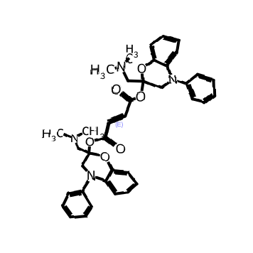 CN(C)CC1(OC(=O)/C=C/C(=O)OC2(CN(C)C)CN(c3ccccc3)c3ccccc3O2)CN(c2ccccc2)c2ccccc2O1